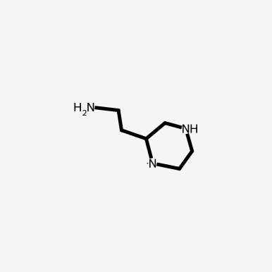 NCCC1CNCC[N]1